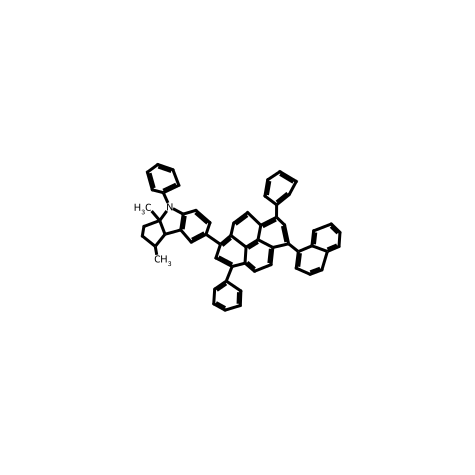 CC1CCC2(C)C1c1cc(-c3cc(-c4ccccc4)c4ccc5c(-c6cccc7ccccc67)cc(-c6ccccc6)c6ccc3c4c65)ccc1N2c1ccccc1